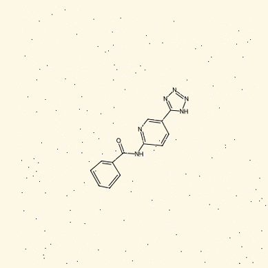 O=C(Nc1ccc(-c2nnn[nH]2)cn1)c1ccccc1